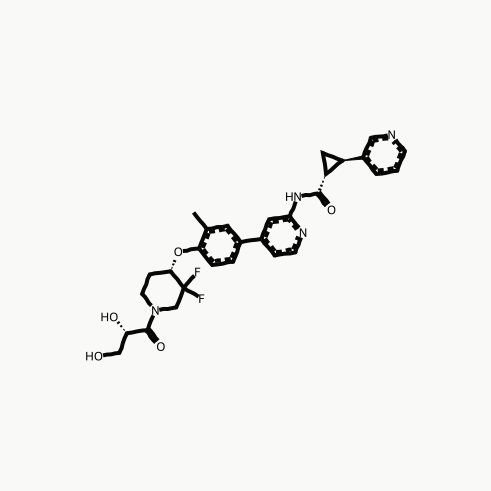 Cc1cc(-c2ccnc(NC(=O)[C@@H]3C[C@H]3c3cccnc3)c2)ccc1O[C@H]1CCN(C(=O)[C@@H](O)CO)CC1(F)F